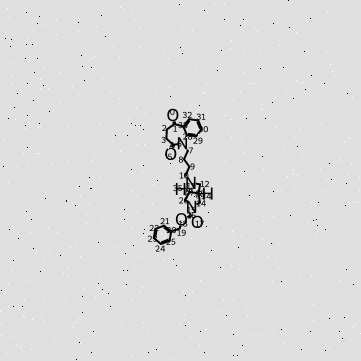 O=C1CCC(=O)N(CCCCN2C[C@@H]3CN(C(=O)OCc4ccccc4)C[C@H]32)c2ccccc21